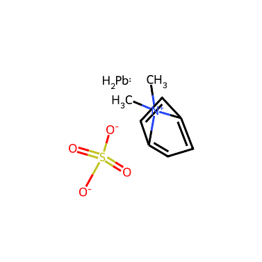 C[N+]1(C)C2=CC=C1C=C2.O=S(=O)([O-])[O-].[PbH2]